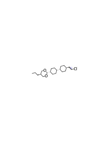 CCC[C@H]1CO[C@H](C2CCC([C@H]3CC[C@H](/C=C/Cl)CC3)CC2)OC1